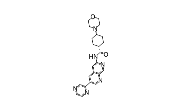 O=C(Nc1cc2cc(-c3cnccn3)cnc2cn1)[C@H]1CC[C@H](N2CCOCC2)CC1